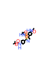 CC(=O)Nc1ccc(-c2cnc(-c3ccc(NC(=O)OC(C)C)cc3)s2)c(S(=O)(=O)NC(C)(C)C)c1